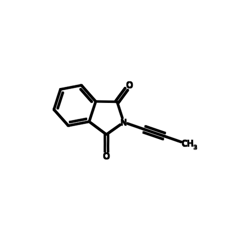 CC#CN1C(=O)c2ccccc2C1=O